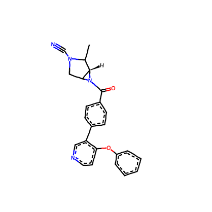 CC1[C@H]2C(CN1C#N)N2C(=O)c1ccc(-c2cnccc2Oc2ccccc2)cc1